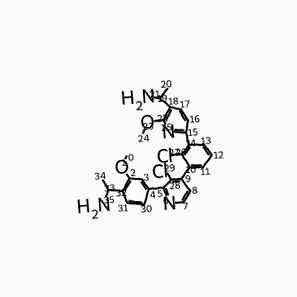 COc1cc(-c2nccc(-c3cccc(-c4ccc(C(C)N)c(OC)n4)c3Cl)c2Cl)ccc1C(C)N